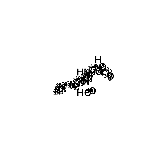 COc1ccc(S(=O)(=O)Nc2ccc(Nc3cc(-c4ccc5c(ccn5CCCN5CCN(C)CC5)c4)ncn3)cc2)cc1.O=CO